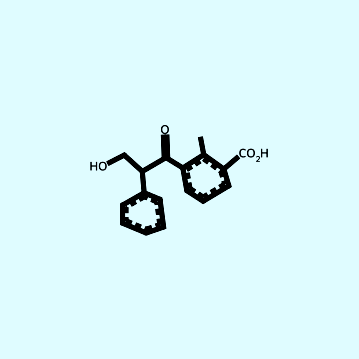 Cc1c(C(=O)O)cccc1C(=O)C(CO)c1ccccc1